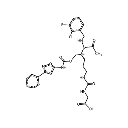 CC(=O)N(NCc1cccc(F)c1Cl)[C@@H](CCCNC(=O)NCC(=O)O)COC(=O)Nc1cc(-c2ccccc2)no1